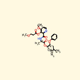 COCCC(=O)Oc1c(OC)ccnc1C(=O)N[C@@H](C)C(=O)O[C@@H](C)[C@@H](CC(C)C)Oc1ccccc1